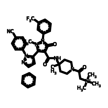 Cn1c(-c2ccnn2-c2ccc(C#N)cc2)c(C(=O)NC2(C)CCN(C(=O)C[N+](C)(C)C)CC2)c(=O)n1-c1cccc(C(F)(F)F)c1.c1ccccc1